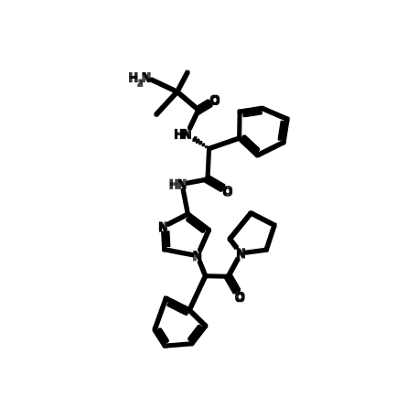 CC(C)(N)C(=O)N[C@@H](C(=O)Nc1cn(C(C(=O)N2CCCC2)c2ccccc2)cn1)c1ccccc1